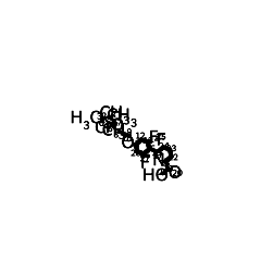 CC(C)(C)[Si](C)(C)OCCOc1cc(F)c(-c2nc(C(=O)O)ccc2F)c(F)c1